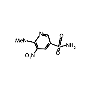 CNc1ncc(S(N)(=O)=O)cc1[N+](=O)[O-]